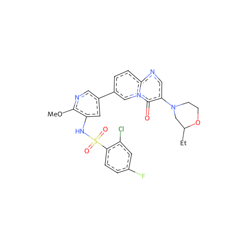 CCC1CN(c2cnc3ccc(-c4cnc(OC)c(NS(=O)(=O)c5ccc(F)cc5Cl)c4)cn3c2=O)CCO1